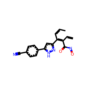 C=C/C(C(=O)N=O)=C(\C=C/C)c1cc(-c2ccc(C#N)cc2)[nH]n1